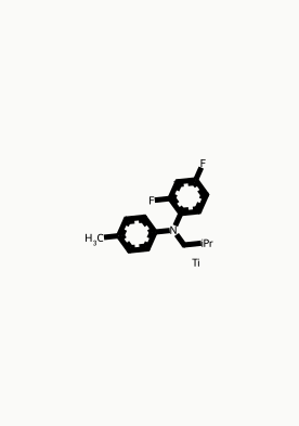 Cc1ccc(N(CC(C)C)c2ccc(F)[c]c2F)cc1.[Ti]